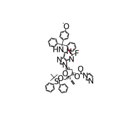 C#C[C@]1(CO[Si](c2ccccc2)(c2ccccc2)C(C)(C)C)O[C@@H](n2cnc3c(NC(c4ccccc4)(c4ccccc4)c4ccc(OC)cc4)nc(F)nc32)C[C@@H]1OC(=O)n1ccnc1